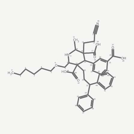 CCCCCCOCC1NC(C)C(CCC#N)(C(=O)O)C(c2cccc(C(=O)O)c2)C1(CCC(c1ccccc1)c1ccccc1)C(=O)O